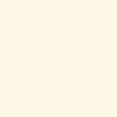 CCCCc1nc(C)c(Cc2ccccc2)c(=O)n1Cc1ccc(-c2ccccc2-c2nnn[nH]2)cc1